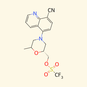 CC1CN(c2ccc(C#N)c3ncccc23)C[C@H](COS(=O)(=O)C(F)(F)F)O1